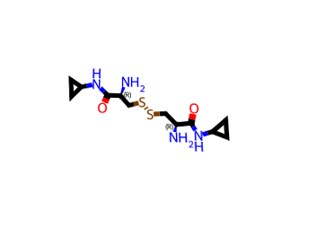 N[C@@H](CSSC[C@H](N)C(=O)NC1CC1)C(=O)NC1CC1